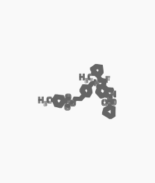 Cc1ccc(S(=O)(=O)OCCc2ccc(Cn3c(-c4ccccc4C)c(F)c4c5cnn(S(=O)(=O)c6ccccc6)c5ccc43)cc2)cc1